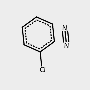 Clc1ccccc1.N#N